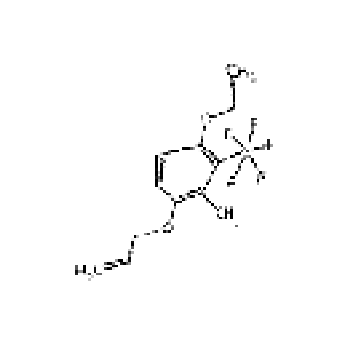 C=CCOc1ccc(OCC)c(S(F)(F)(F)(F)F)c1C